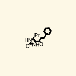 CC(C)c1[nH]c(=O)[nH]c1C(=O)/C=C/c1ccccc1